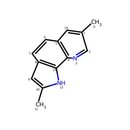 Cc1cnc2c(ccc3cc(C)[nH]c32)c1